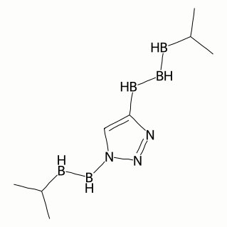 CC(C)BBBc1cn(BBC(C)C)nn1